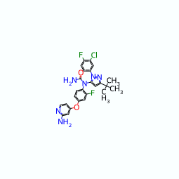 CC(C)(C)c1cc(N(C(N)=O)c2ccc(Oc3ccnc(N)c3)cc2F)n(-c2ccc(F)c(Cl)c2)n1